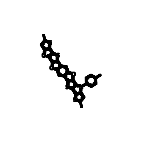 Cc1ccc(-n2c3cc(C)sc3c3sc4c5cc6oc7c8oc9cc(C)sc9c8sc7c6cc5oc4c32)cc1